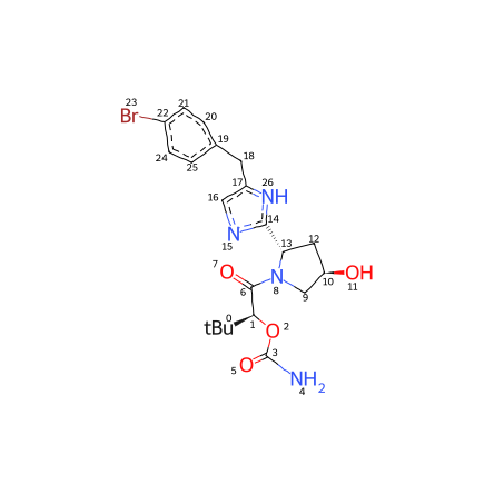 CC(C)(C)[C@H](OC(N)=O)C(=O)N1C[C@H](O)C[C@H]1c1ncc(Cc2ccc(Br)cc2)[nH]1